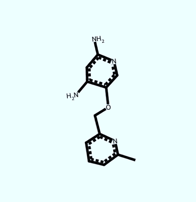 Cc1cccc(COc2cnc(N)cc2N)n1